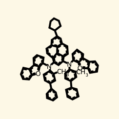 Cc1cc(-c2ccccc2)ccc1N(c1cc(N(c2ccc(-c3ccccc3)cc2C)c2cccc3c2oc2ccccc23)c2ccc3cc(C4CCCCC4)cc4ccc1c2c43)c1cccc2c1oc1ccccc12